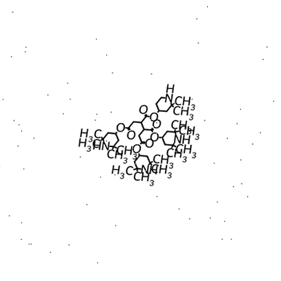 CC1(C)CC(OC(=O)C(CC(=O)OC2CC(C)(C)NC(C)(C)C2)C(CC(=O)OC2CC(C)(C)NC(C)(C)C2)C(=O)OC2CC(C)(C)NC(C)(C)C2)CCN1